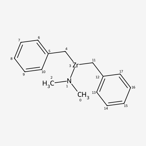 C[N](C)[Zr]([CH2]c1ccccc1)[CH2]c1ccccc1